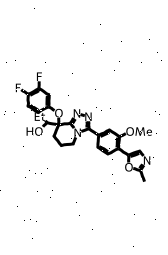 CCC(O)C1(Oc2ccc(F)c(F)c2)CCCn2c(-c3ccc(-c4cnc(C)o4)c(OC)c3)nnc21